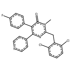 Cn1c(Cc2c(Cl)cccc2Cl)nc(-c2ccncc2)c(-c2ccc(F)cc2)c1=O